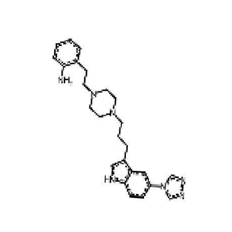 Nc1ccccc1CCN1CCN(CCCc2c[nH]c3ccc(-n4cnnc4)cc23)CC1